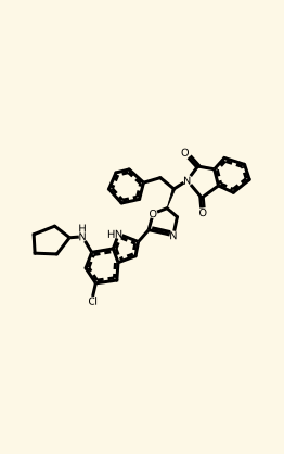 O=C1c2ccccc2C(=O)N1C(Cc1ccccc1)[C@H]1CN=C(c2cc3cc(Cl)cc(NC4CCCC4)c3[nH]2)O1